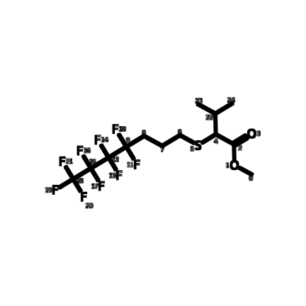 COC(=O)C(SCCCC(F)(F)C(F)(F)C(F)(F)C(F)(F)F)C(C)C